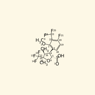 COc1c([C@H]2[C@H](C(=O)O)O[C@@](C)(C(F)(F)F)[C@H]2C)ccc(F)c1C(F)F